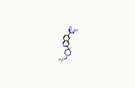 CCN1CCC(F)(c2cc3cc(/C(C=N)=C/N)ccc3cn2)CC1